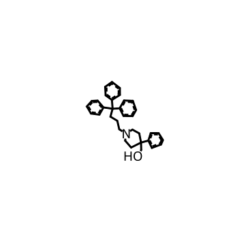 OCC1(c2ccccc2)CCN(CCCC(c2ccccc2)(c2ccccc2)c2ccccc2)CC1